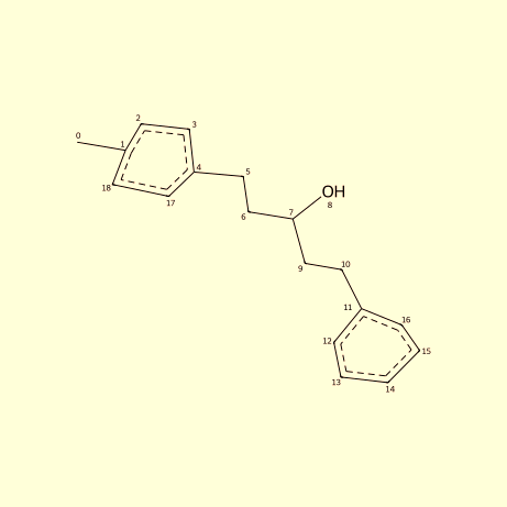 Cc1ccc(CCC(O)CCc2ccccc2)cc1